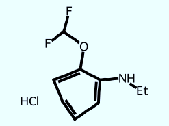 CCNc1ccccc1OC(F)F.Cl